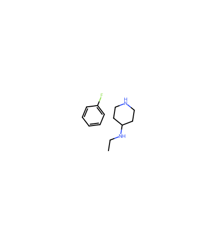 CCNC1CCNCC1.Fc1ccccc1